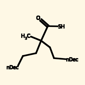 CCCCCCCCCCCCC(C)(CCCCCCCCCCCC)C(=O)S